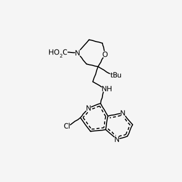 CC(C)(C)C1(CNc2nc(Cl)cc3nccnc23)CN(C(=O)O)CCO1